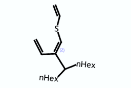 C=CS/C=C(\C=C)C(CCCCCC)CCCCCC